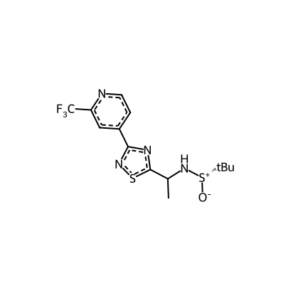 CC(N[S@@+]([O-])C(C)(C)C)c1nc(-c2ccnc(C(F)(F)F)c2)ns1